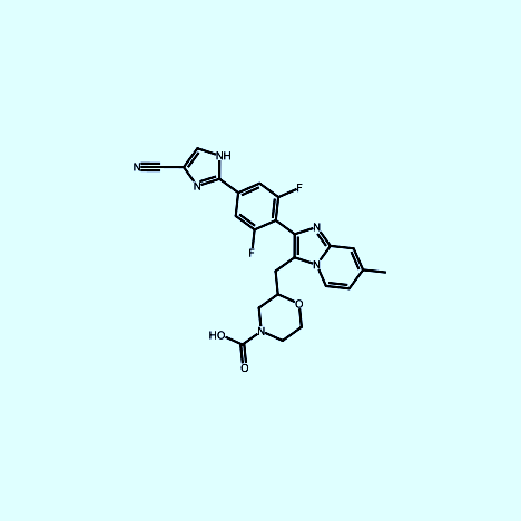 Cc1ccn2c(CC3CN(C(=O)O)CCO3)c(-c3c(F)cc(-c4nc(C#N)c[nH]4)cc3F)nc2c1